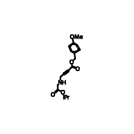 COc1ccc(COC(=O)C#CCNCC(=O)OC(C)C)cc1